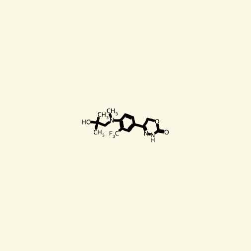 CN(CC(C)(C)O)c1ccc(C2=NNC(=O)OC2)cc1C(F)(F)F